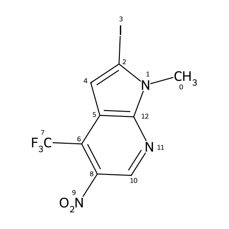 Cn1c(I)cc2c(C(F)(F)F)c([N+](=O)[O-])cnc21